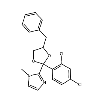 Cn1ccnc1C1(c2ccc(Cl)cc2Cl)OCC(Cc2ccccc2)O1